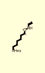 C=CNOCCCCCCCCCCCC